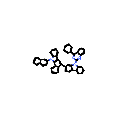 c1ccc(-c2nc(-n3c4ccccc4c4ccc(-c5cc6c7ccccc7n(-c7ccc8ccccc8c7)c6c6ccccc56)cc43)nc3ccccc23)cc1